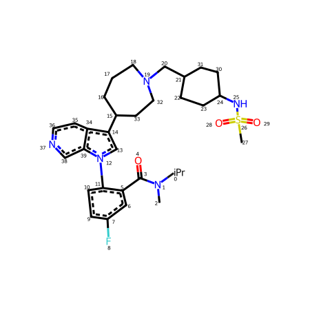 CC(C)N(C)C(=O)c1cc(F)ccc1-n1cc(C2CCCN(CC3CCC(NS(C)(=O)=O)CC3)CC2)c2ccncc21